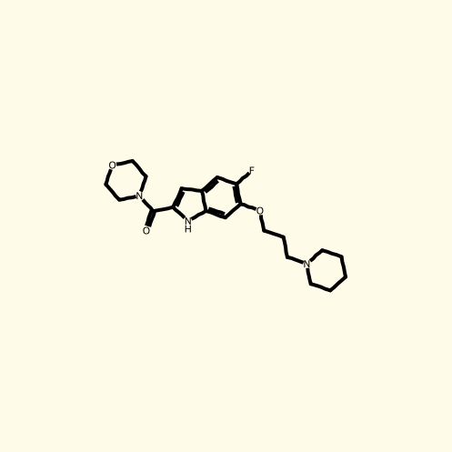 O=C(c1cc2cc(F)c(OCCCN3CCCCC3)cc2[nH]1)N1CCOCC1